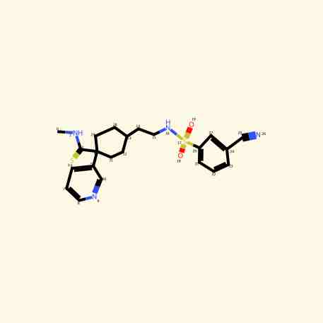 CNC(=S)C1(c2cccnc2)CCC(CCNS(=O)(=O)c2cccc(C#N)c2)CC1